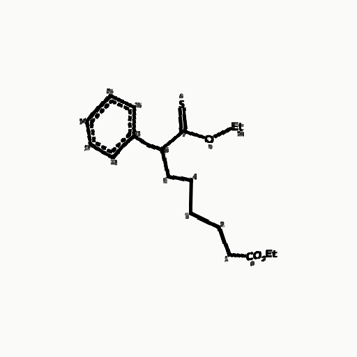 CCOC(=O)CCCCCC(C(=S)OCC)c1ccccc1